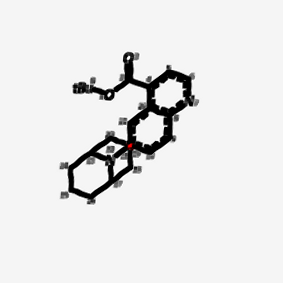 CC(C)(C)OC(=O)c1ccnc2ccc(N3C4CCCC3COC4)cc12